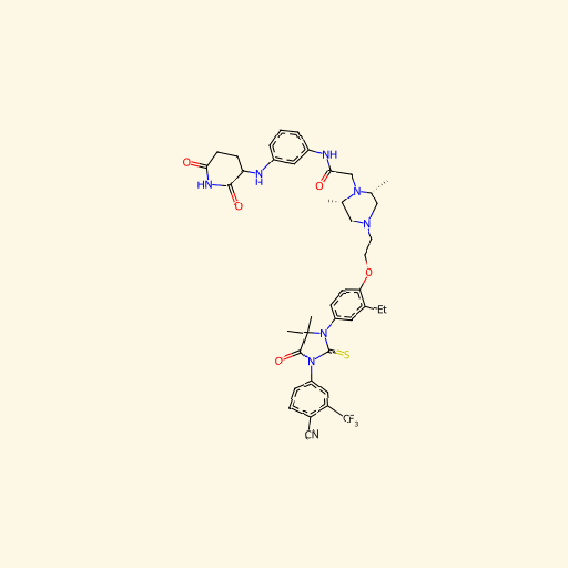 CCc1cc(N2C(=S)N(c3ccc(C#N)c(C(F)(F)F)c3)C(=O)C2(C)C)ccc1OCCN1C[C@@H](C)N(CC(=O)Nc2cccc(NC3CCC(=O)NC3=O)c2)[C@@H](C)C1